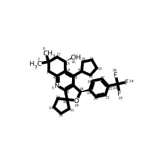 CC1(C)Cc2nc3c(c(C4CCCC4)c2[C@@H](O)C1)[C@@H](c1ccc(C(F)(F)F)cc1)OC31CCCC1